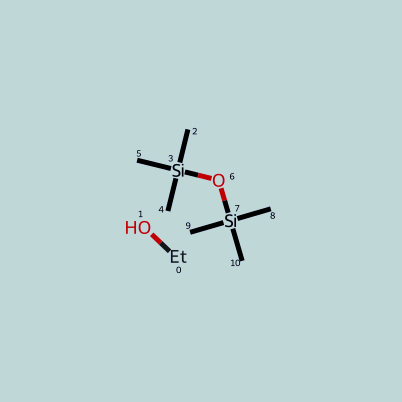 CCO.C[Si](C)(C)O[Si](C)(C)C